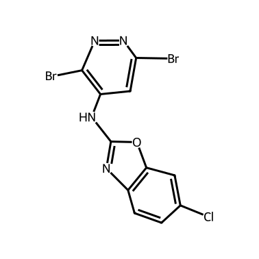 Clc1ccc2nc(Nc3cc(Br)nnc3Br)oc2c1